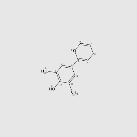 Cc1cc(C2=CCC=CO2)cc(C)c1O